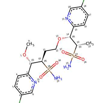 CO[C@@H](c1ccc(Cl)cn1)[C@@H](CCO[C@H](c1ccc(Cl)cn1)[C@H](C)S(N)(=O)=O)S(N)(=O)=O